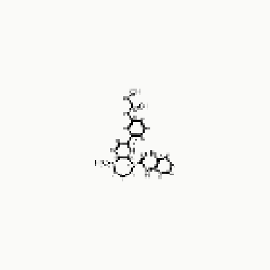 CN1CCCN(C(=O)Nc2ccncc2F)c2nc(-c3cccc(CC(O)CO)c3)ccc21